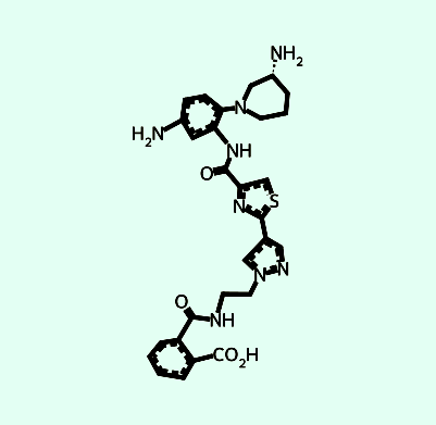 Nc1ccc(N2CCC[C@@H](N)C2)c(NC(=O)c2csc(-c3cnn(CCNC(=O)c4ccccc4C(=O)O)c3)n2)c1